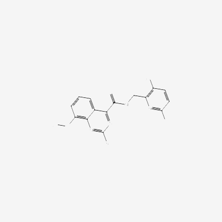 COc1cccc2c(C(=O)NCc3nc(C)ccc3C)nc(N)nc12